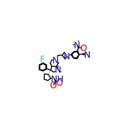 COC(=O)N[C@H]1CCC[C@@H]1C(CN(C)C)(c1cccc(F)c1)C1CCN(CC2CN(c3ccc(C#N)c(C(=O)N(C)C)c3)C2)CC1